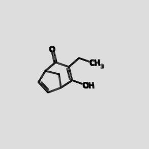 CCC1=C(O)C2C=CC(C2)C1=O